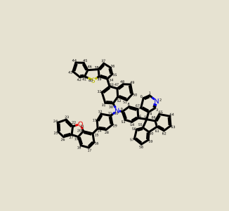 c1cncc(C2(c3ccc(N(c4ccc(-c5cccc6c5oc5ccccc56)cc4)c4ccc(-c5cccc6c5sc5ccccc56)c5ccccc45)cc3)c3ccccc3-c3ccccc32)c1